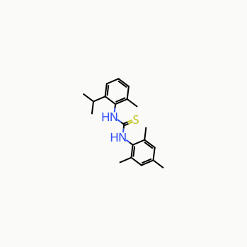 Cc1cc(C)c(NC(=S)Nc2c(C)cccc2C(C)C)c(C)c1